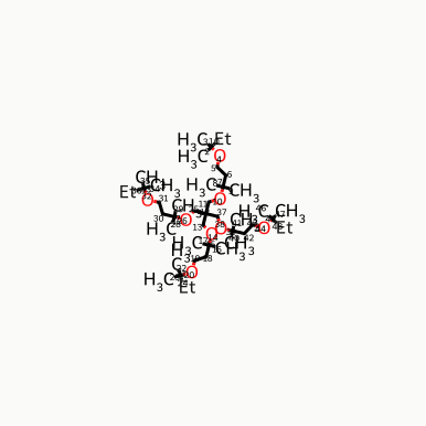 CCC(C)(C)OCCC(C)(C)OCC(COC(C)(C)CCOC(C)(C)CC)(COC(C)(C)CCOC(C)(C)CC)COC(C)(C)CCOC(C)(C)CC